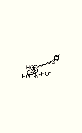 Cc1ccc(OCCCCCCCCOP(=O)(O)OC(CC(=O)O)C[N+](C)(C)C)cc1.[OH-]